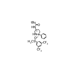 C[C@@H](OC[C@@]1(c2ccccc2)CC[C@H](NC(=O)C(C)(C)C)CN1)c1cc(C(F)(F)F)cc(C(F)(F)F)c1